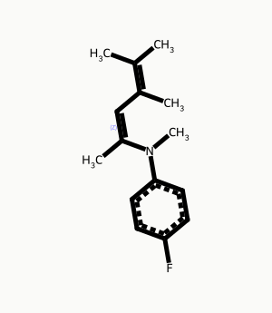 CC(C)=C(C)/C=C(/C)N(C)c1ccc(F)cc1